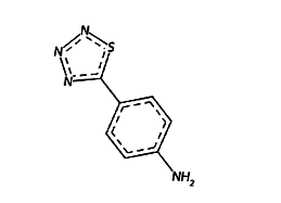 Nc1ccc(-c2nnns2)cc1